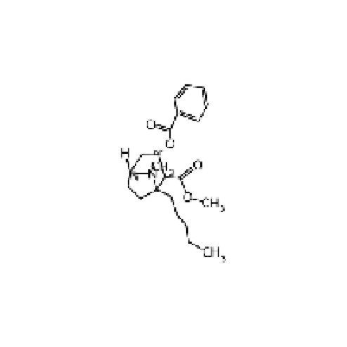 CCCCCC12CC[C@H](C[C@H](OC(=O)c3ccccc3)C1C(=O)OC)N2C